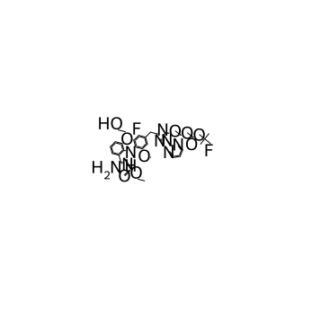 CCOC(=O)N=C(N)c1ccccc1Nc1c(OC)cc(Cc2nc(OCOC(=O)OC(C)(C)CF)n(-c3ncccn3)n2)c(F)c1OCCO